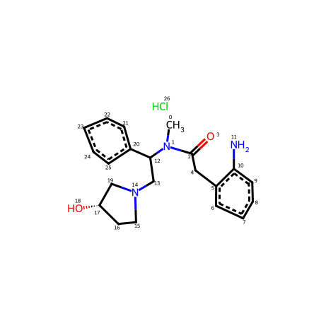 CN(C(=O)Cc1ccccc1N)C(CN1CC[C@H](O)C1)c1ccccc1.Cl